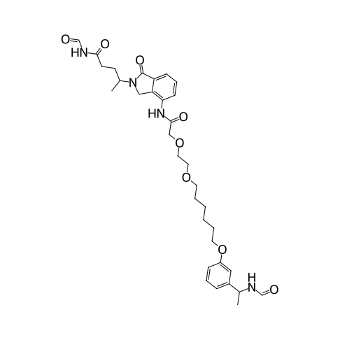 CC(NC=O)c1cccc(OCCCCCCOCCOCC(=O)Nc2cccc3c2CN(C(C)CCC(=O)NC=O)C3=O)c1